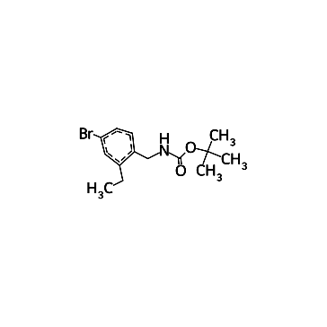 CCc1cc(Br)ccc1CNC(=O)OC(C)(C)C